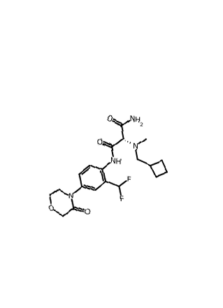 CN(CC1CCC1)[C@@H](C(N)=O)C(=O)Nc1ccc(N2CCOCC2=O)cc1C(F)F